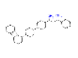 NC(CC(N)C1CCC(C2CCC(C3CCCC4C5=C(CCCC5)C43)CC2)CC1)C1CC=CCC1